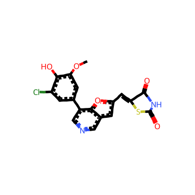 COc1cc(-c2cncc3cc(/C=C4\SC(=O)NC4=O)oc23)cc(Cl)c1O